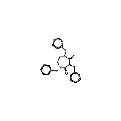 O=C1C(Cc2ccccc2)C(=O)N(Cc2ccccc2)CCN1Cc1ccccc1